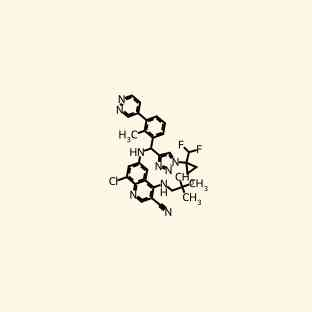 Cc1c(-c2ccnnc2)cccc1C(Nc1cc(Cl)c2ncc(C#N)c(NCC(C)(C)C)c2c1)c1cn(C2(C(F)F)CC2)nn1